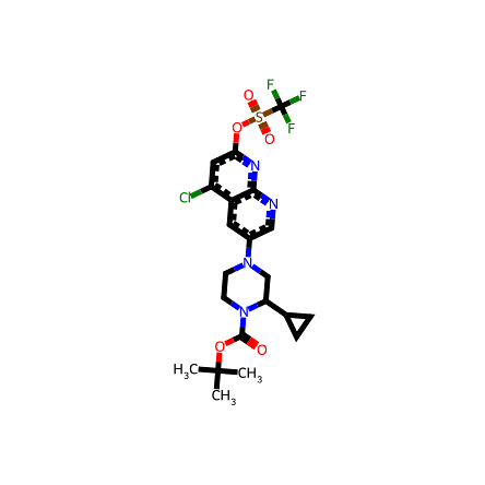 CC(C)(C)OC(=O)N1CCN(c2cnc3nc(OS(=O)(=O)C(F)(F)F)cc(Cl)c3c2)CC1C1CC1